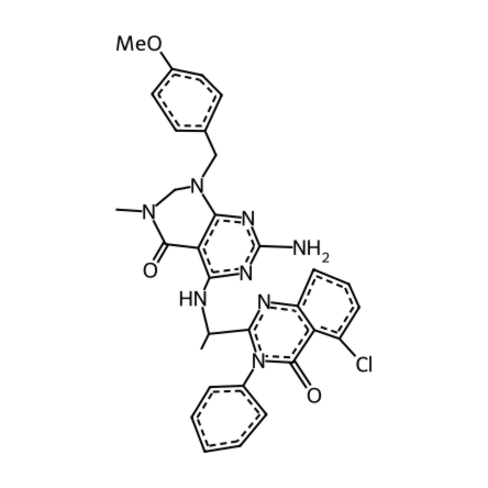 COc1ccc(CN2CN(C)C(=O)c3c(NC(C)c4nc5cccc(Cl)c5c(=O)n4-c4ccccc4)nc(N)nc32)cc1